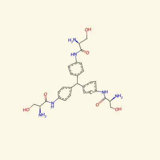 N[C@@H](CO)C(=O)Nc1ccc(C(c2ccc(NC(=O)[C@@H](N)CO)cc2)c2ccc(NC(=O)[C@@H](N)CO)cc2)cc1